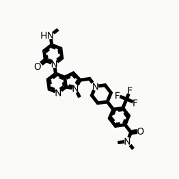 CNc1ccn(-c2ccnc3c2cc(CN2CCC(c4ccc(C(=O)N(C)C)cc4C(F)(F)F)CC2)n3C)c(=O)c1